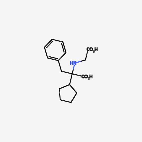 O=C(O)CNC(Cc1ccccc1)(C(=O)O)C1CCCC1